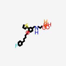 O=[PH](O)OCCCNCc1ccc(OCCCCCc2ccc(F)cc2)c(-c2cccs2)c1